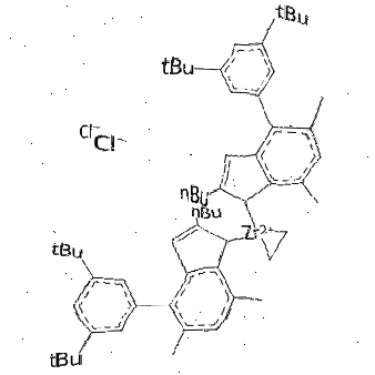 CCCCC1=Cc2c(-c3cc(C(C)(C)C)cc(C(C)(C)C)c3)c(C)cc(C)c2[CH]1[Zr+2]1([CH]2C(CCCC)=Cc3c(-c4cc(C(C)(C)C)cc(C(C)(C)C)c4)c(C)cc(C)c32)[CH2][CH2]1.[Cl-].[Cl-]